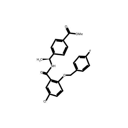 COC(=O)c1ccc([C@H](C)NC(=O)c2cc(Cl)ccc2OCc2ccc(F)cc2)cc1